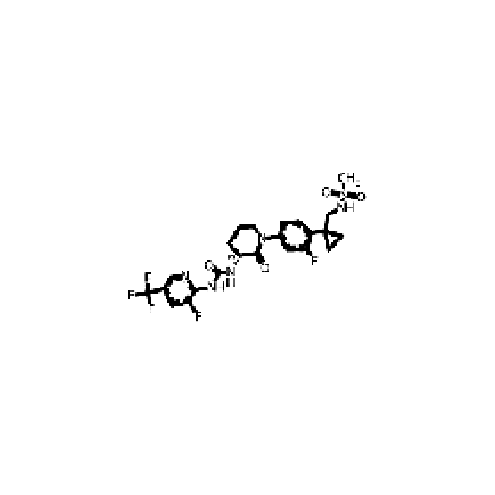 CS(=O)(=O)NCC1(c2ccc(N3CCC[C@@H](NC(=O)Nc4ncc(C(F)(F)F)cc4F)C3=O)cc2F)CC1